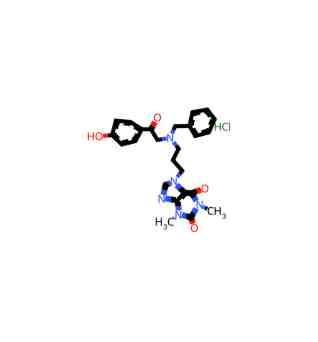 Cl.Cn1c(=O)c2c(ncn2CCCN(CC(=O)c2ccc(O)cc2)Cc2ccccc2)n(C)c1=O